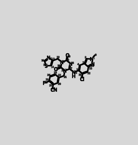 Cn1cc2cc(Nc3nc(=O)n(Cc4cscn4)c(=O)n3Cc3ccc(F)c(C#N)c3)c(Cl)cc2n1